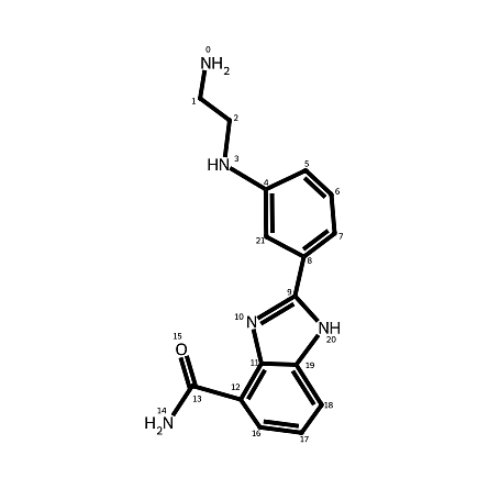 NCCNc1cccc(-c2nc3c(C(N)=O)cccc3[nH]2)c1